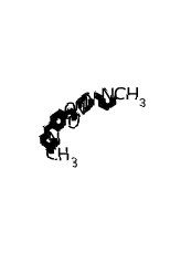 Cc1ccc(Cc2ccc(OC(=O)N3CCN(Cc4cccc(C)n4)CC3)cc2)nc1